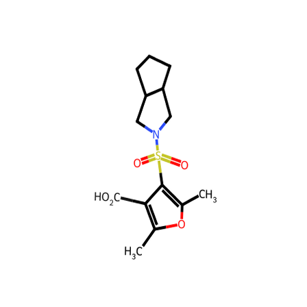 Cc1oc(C)c(S(=O)(=O)N2CC3CCCC3C2)c1C(=O)O